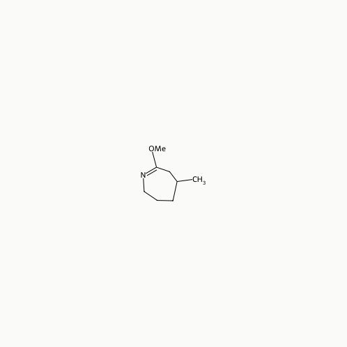 COC1=NCCCC(C)C1